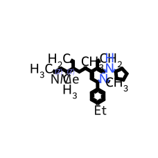 C=CC1=C(NC2CCCC2)N(C)C(c2ccc(CC)cc2)C=C1C(C)C/C(C=C)=C(C)/C=C(/C)NC